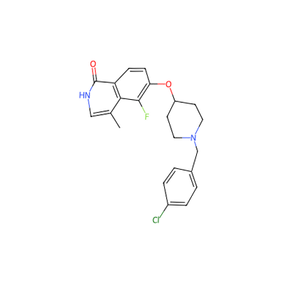 Cc1c[nH]c(=O)c2ccc(OC3CCN(Cc4ccc(Cl)cc4)CC3)c(F)c12